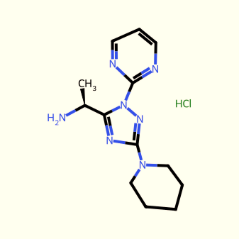 C[C@H](N)c1nc(N2CCCCC2)nn1-c1ncccn1.Cl